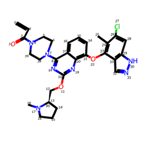 C=CC(=O)N1CCN(c2nc(OC[C@H]3CCCN3C)nc3c(Oc4c(C)c(Cl)cc5[nH]ncc45)cccc23)CC1